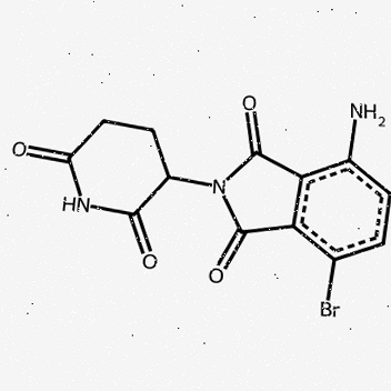 Nc1ccc(Br)c2c1C(=O)N(C1CCC(=O)NC1=O)C2=O